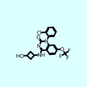 O=c1nc(NC2CC(O)C2)c2ccc(OC(F)(F)F)cc2n1-c1ccccc1Cl